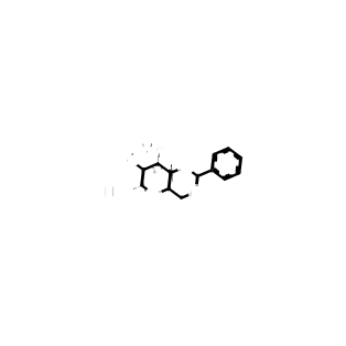 CO[C@@H]1C(C)[C@H](C)OC2COC(c3ccccc3)O[C@H]21